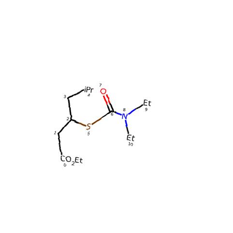 CCOC(=O)CC(CC(C)C)SC(=O)N(CC)CC